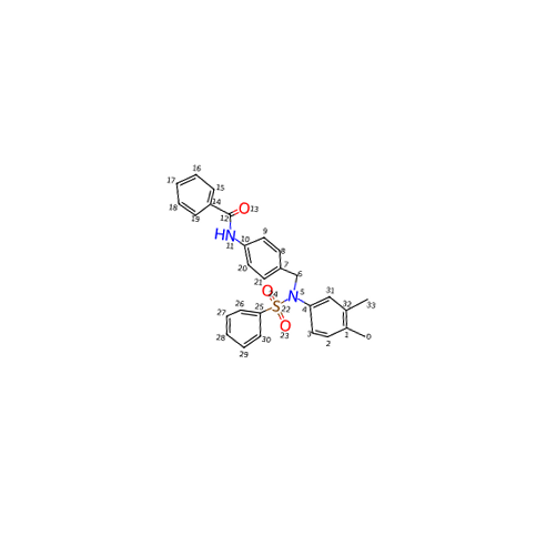 Cc1ccc(N(Cc2ccc(NC(=O)c3ccccc3)cc2)S(=O)(=O)c2ccccc2)cc1C